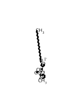 CCCCCCCCCCCCCCCCCCOC[C@@H]1C[C@@H](COC(=O)N(Cc2cccc[n+]2CC)C(C)=O)CO1.[I-]